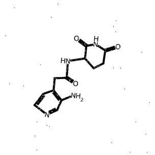 Nc1cnccc1CC(=O)NC1CCC(=O)NC1=O